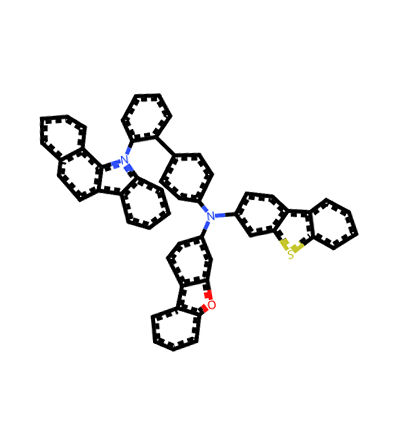 c1ccc(-n2c3ccccc3c3ccc4ccccc4c32)c(-c2ccc(N(c3ccc4c(c3)oc3ccccc34)c3ccc4c(c3)sc3ccccc34)cc2)c1